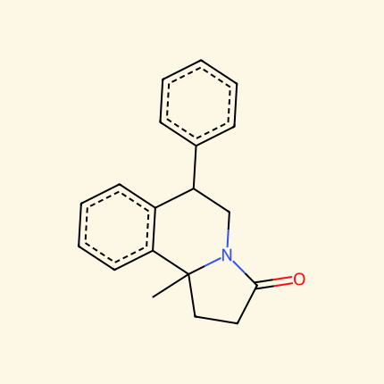 CC12CCC(=O)N1CC(c1ccccc1)c1ccccc12